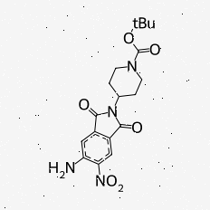 CC(C)(C)OC(=O)N1CCC(N2C(=O)c3cc(N)c([N+](=O)[O-])cc3C2=O)CC1